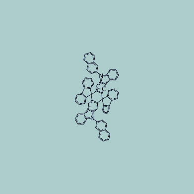 c1ccc2c(c1)-c1ccccc1C21c2cc3c4ccccc4n(-c4ccc5ccccc5c4)c3cc2C2(c3ccccc3-c3ccccc32)c2cc3c4ccccc4n(-c4ccc5ccccc5c4)c3cc21